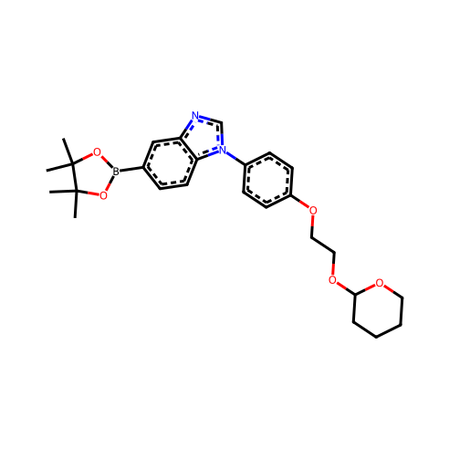 CC1(C)OB(c2ccc3c(c2)ncn3-c2ccc(OCCOC3CCCCO3)cc2)OC1(C)C